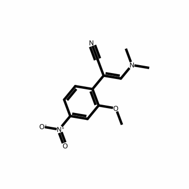 COc1cc([N+](=O)[O-])ccc1C(C#N)=CN(C)C